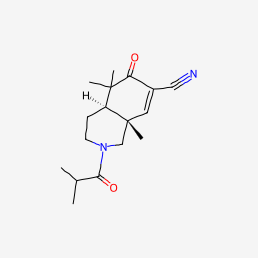 CC(C)C(=O)N1CC[C@H]2C(C)(C)C(=O)C(C#N)=C[C@]2(C)C1